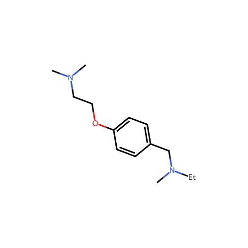 CCN(C)Cc1ccc(OCCN(C)C)cc1